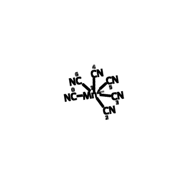 N#[C][Mn-4]([C]#N)([C]#N)([C]#N)([C]#N)[C]#N